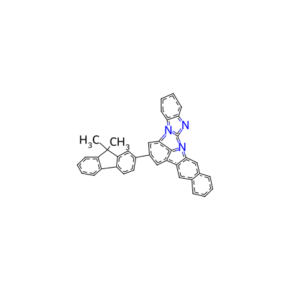 CC1(C)c2ccccc2-c2ccc(-c3cc4c5cc6ccccc6cc5n5c4c(c3)n3c4ccccc4nc35)cc21